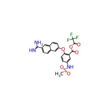 CS(=O)(=O)Nc1ccc(Oc2ccc3cc(C(=N)N)ccc3c2)c(C(=O)OC(=O)C(F)(F)F)c1